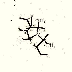 CCC(C)C(C)(P)P(C(C)(P)C(C)CC)C(C)(P)C(C)CC